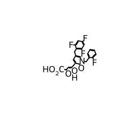 O=C(O)C(=O)C=C(O)c1cc(Cc2c(F)cc(F)cc2F)cn(Cc2ccccc2F)c1=O